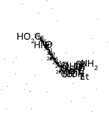 CC/C=C/C(OC(N)=O)C(Cl)C(O)CC(=O)C(O)C(O)C(C)/C(Cl)=C/C=C/C=C(C)/C=C/CCC(=O)NCCCC(=O)O